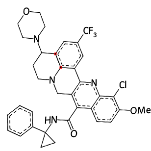 COc1ccc2c(C(=O)NC3(c4ccccc4)CC3)c(CN3CCC(N4CCOCC4)CC3)c(-c3cccc(C(F)(F)F)c3)nc2c1Cl